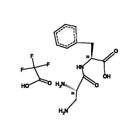 NC[C@H](N)C(=O)N[C@@H](Cc1ccccc1)C(=O)O.O=C(O)C(F)(F)F